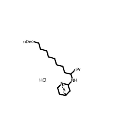 CCCCCCCCCCCCCCCCCCC(CCC)NC1CC2CCN1CC2.Cl